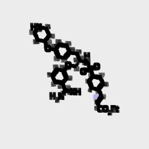 CCOC(=O)/C=C/c1ccc(S(=O)(=O)N[C@H](COc2cccc(C(=N)N)c2)Cc2ccc(OC3CCNCC3)cc2)cc1